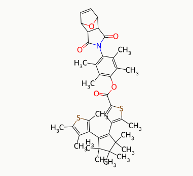 Cc1sc(C(=O)Oc2c(C)c(C)c(N3C(=O)C4C5C=CC(O5)C4C3=O)c(C)c2C)cc1C1=C(c2c(C)sc(C)c2C)C(C)(C)C(C)(C)C1(C)C